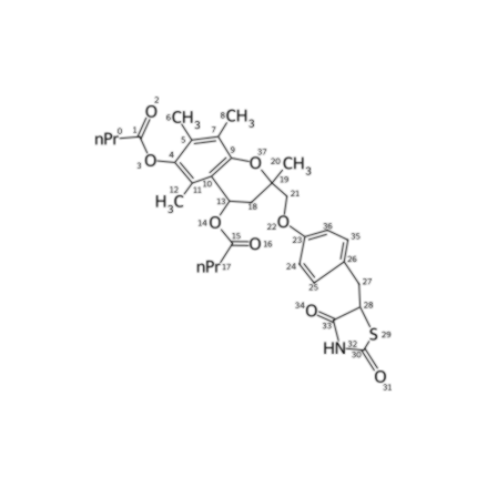 CCCC(=O)Oc1c(C)c(C)c2c(c1C)C(OC(=O)CCC)CC(C)(COc1ccc(CC3SC(=O)NC3=O)cc1)O2